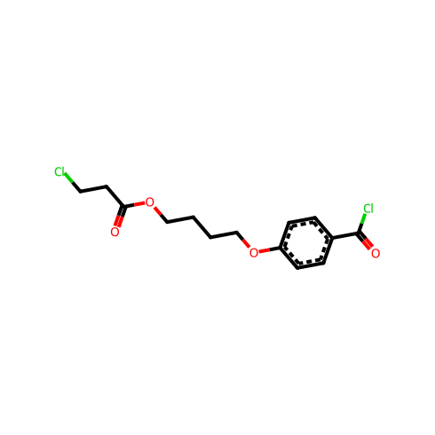 O=C(CCCl)OCCCCOc1ccc(C(=O)Cl)cc1